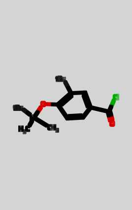 CC(C)(C)c1cc(C(=O)Cl)ccc1O[Si](C)(C)C(C)(C)C